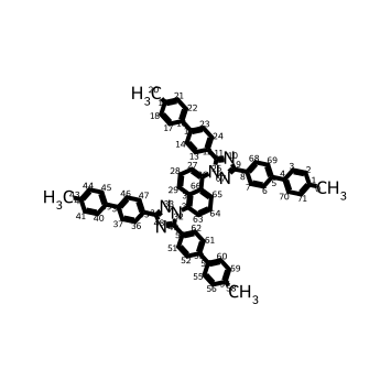 Cc1ccc(-c2ccc(-c3nc(-c4ccc(-c5ccc(C)cc5)cc4)n(-c4cccc5c(-n6nc(-c7ccc(-c8ccc(C)cc8)cc7)nc6-c6ccc(-c7ccc(C)cc7)cc6)cccc45)n3)cc2)cc1